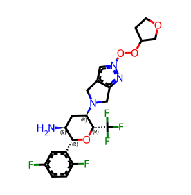 N[C@H]1C[C@@H](N2Cc3cn(OOC4CCOC4)nc3C2)[C@H](C(F)(F)F)O[C@@H]1c1cc(F)ccc1F